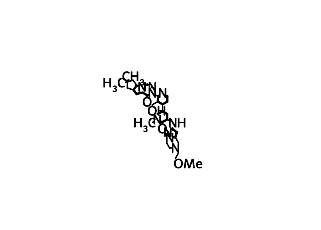 COCCN1CCn2nc(Nc3cc(-c4ccnc(-n5ncn6c7c(cc6c5=O)CC(C)(C)C7)c4CO)cn(C)c3=O)cc2C1